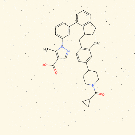 Cc1cc(C2CCN(C(=O)C3CC3)CC2)ccc1CC1CCc2cccc(-c3cccc(-n4ncc(C(=O)O)c4C)c3)c21